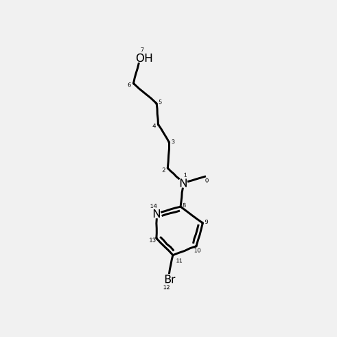 CN(CCCCCO)c1ccc(Br)cn1